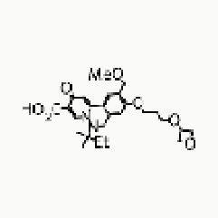 CCC(C)(C)N1Cc2cc(OCCCOC3COC3)c(COC)cc2-c2cc(=O)c(C(=O)O)cn21